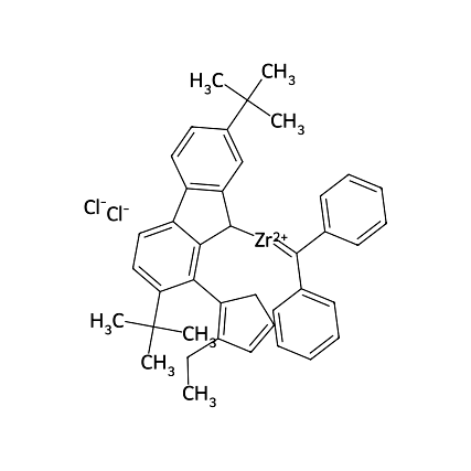 CCC1=C(c2c(C(C)(C)C)ccc3c2[CH]([Zr+2]=[C](c2ccccc2)c2ccccc2)c2cc(C(C)(C)C)ccc2-3)CC=C1.[Cl-].[Cl-]